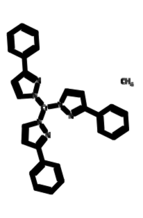 C.c1ccc(-c2cc[n]([Cr]([n]3ccc(-c4ccccc4)n3)[n]3ccc(-c4ccccc4)n3)n2)cc1